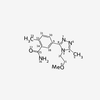 COCCn1c(C)nnc1-c1ccc(C)c(C(N)=O)c1